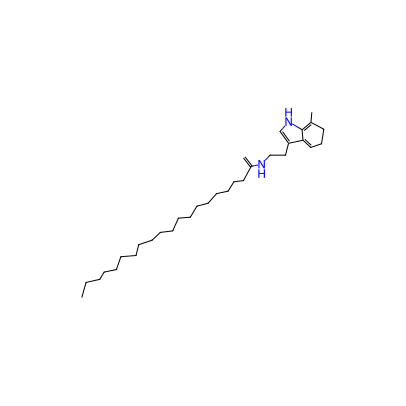 C=C(CCCCCCCCCCCCCCCCCCC)NCCc1c[nH]c2c1=CCCC=2C